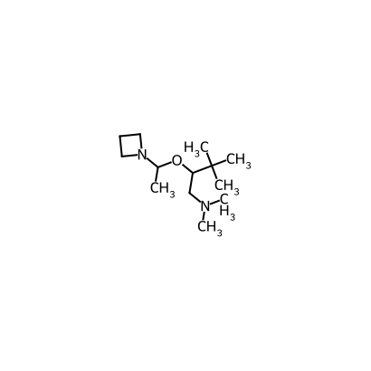 CC(OC(CN(C)C)C(C)(C)C)N1CCC1